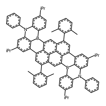 Cc1cccc(C)c1-c1cc2c3c(cc4c(-c5c(C)cccc5C)cc5c6c(cc1c3c46)B1c3ccc(C(C)C)cc3N(c3ccccc3)c3cc(C(C)C)cc-5c31)B1c3ccc(C(C)C)cc3N(c3ccccc3)c3cc(C(C)C)cc-2c31